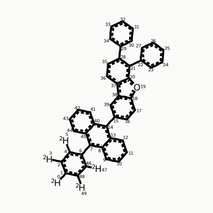 [2H]c1c([2H])c([2H])c(-c2c3ccccc3c(-c3ccc4oc5c(-c6ccccc6)c(-c6ccccc6)ccc5c4c3)c3ccccc23)c([2H])c1[2H]